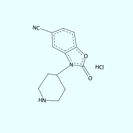 Cl.N#Cc1ccc2oc(=O)n(C3CCNCC3)c2c1